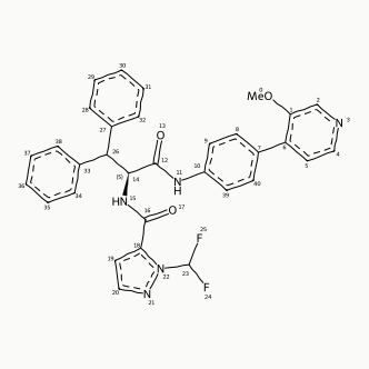 COc1cnccc1-c1ccc(NC(=O)[C@@H](NC(=O)c2ccnn2C(F)F)C(c2ccccc2)c2ccccc2)cc1